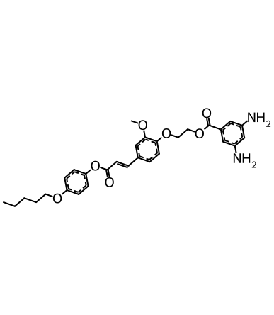 CCCCCOc1ccc(OC(=O)/C=C/c2ccc(OCCOC(=O)c3cc(N)cc(N)c3)c(OC)c2)cc1